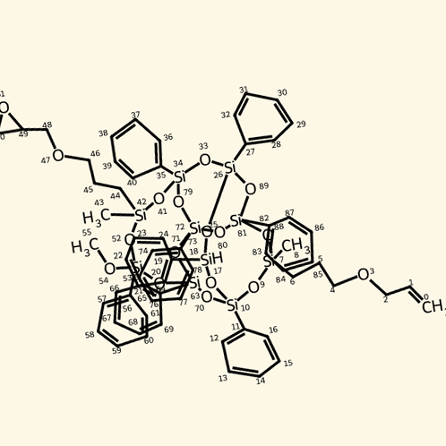 C=CCOCCC[Si]1(C)O[Si]2(c3ccccc3)O[SiH](c3ccccc3)O[Si]3(c4ccccc4)O[Si]4(c5ccccc5)O[Si](C)(CCCOCC5CO5)O[Si](OC)(c5ccccc5)O[Si](c5ccccc5)(O2)O[Si](c2ccccc2)(O4)O[Si](c2ccccc2)(O1)O3